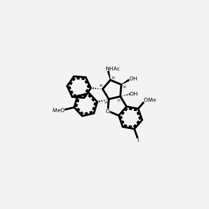 COc1ccc([C@@]23Oc4cc(I)cc(OC)c4[C@]2(O)[C@H](O)[C@H](NC(C)=O)[C@H]3c2ccccc2)cc1